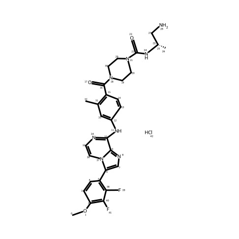 COc1ccc(-c2cnc3c(Nc4ccc(C(=O)N5CCN(C(=O)N[C@@H](C)CN)CC5)c(C)c4)nccn23)c(F)c1F.Cl